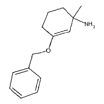 CC1(N)C=C(OCc2ccccc2)CCC1